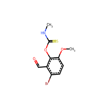 CNC(=S)Oc1c(OC)ccc(Br)c1C=O